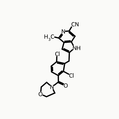 Cc1nc(C#N)cc2[nH]c(Cc3c(Cl)ccc(C(=O)N4CCOCC4)c3Cl)cc12